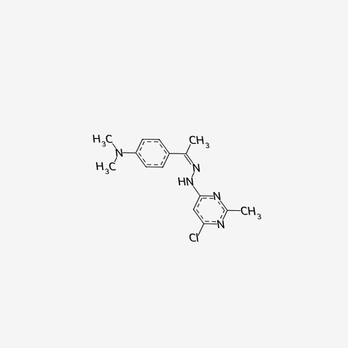 CC(=NNc1cc(Cl)nc(C)n1)c1ccc(N(C)C)cc1